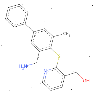 NCc1cc(-c2ccccc2)cc(C(F)(F)F)c1Sc1ncccc1CO